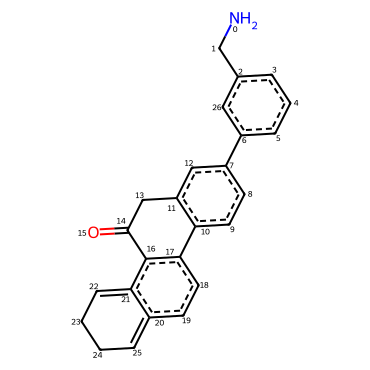 NCc1cccc(-c2ccc3c(c2)CC(=O)c2c-3ccc3c2=CCCC=3)c1